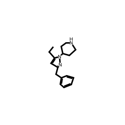 CCc1cc(Cc2ccccc2)nn1C1CCNCC1